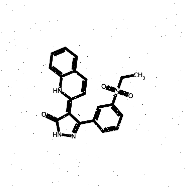 CCS(=O)(=O)c1cccc(C2=NNC(=O)/C2=C2/C=Cc3ccccc3N2)c1